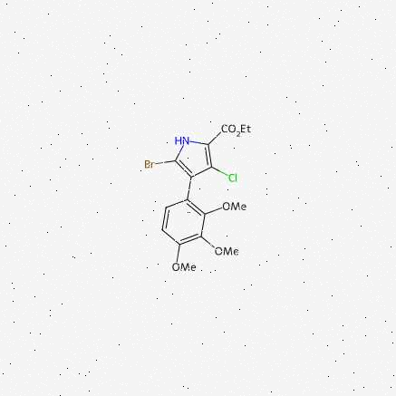 CCOC(=O)c1[nH]c(Br)c(-c2ccc(OC)c(OC)c2OC)c1Cl